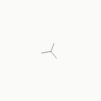 F[CH](F)[AlH2]